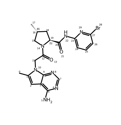 Cc1cc2c(N)ncnc2n1CC(=O)N1C[C@H](C)C[C@H]1C(=O)Nc1cccc(Br)n1